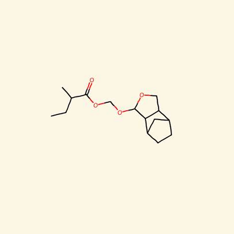 CCC(C)C(=O)OCOC1OCC2C3CCC(C3)C12